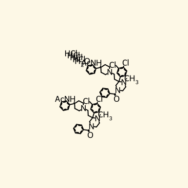 CC(=O)NC1(c2ccccc2)CCN(CCC2(c3ccc(Cl)c(Cl)c3)CN(C(=O)c3ccccc3)CCN2C)CC1.CC(=O)NC1(c2ccccc2)CCN(CCC2(c3ccc(Cl)c(Cl)c3)CN(C(=O)c3ccccc3)CCN2C)CC1.Cl.Cl.Cl.Cl.O